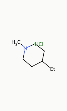 CCC1CCN(C)CC1.Cl